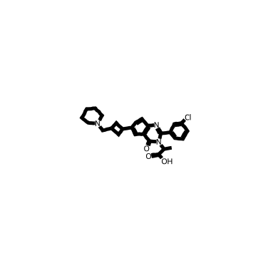 CC(C(=O)O)n1c(-c2cccc(Cl)c2)nc2ccc(C3CC(CN4CCCCC4)C3)cc2c1=O